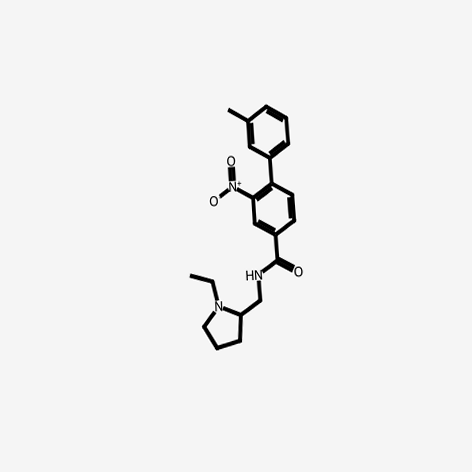 CCN1CCCC1CNC(=O)c1ccc(-c2cccc(C)c2)c([N+](=O)[O-])c1